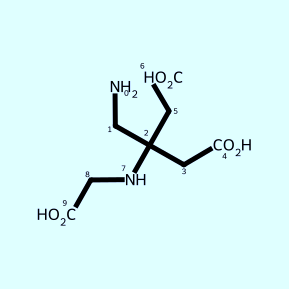 NCC(CC(=O)O)(CC(=O)O)NCC(=O)O